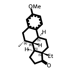 CC[C@]12CC[C@@H]3c4ccc(OC)cc4C[C@@H](C)[C@H]3[C@@H]1CCC2=O